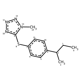 CCC(C)c1ccc(Sc2nnnn2C)cc1